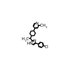 Cc1cc(C2CCC(C(C)c3nc(-c4ccc(Cl)cc4)c[nH]3)CC2)ccn1